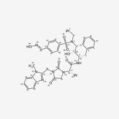 CC(C)CN(C[C@@H](O)[C@H](Cc1ccccc1)NC(=O)[C@H](C(C)C)N1CC(=O)N(Cc2nc3ccccc3n2C)C1=O)S(=O)(=O)c1ccc(C=NO)cc1